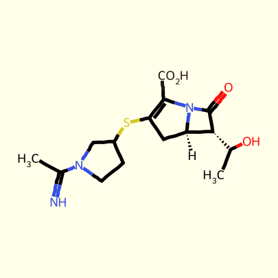 CC(=N)N1CCC(SC2=C(C(=O)O)N3C(=O)[C@H](C(C)O)[C@H]3C2)C1